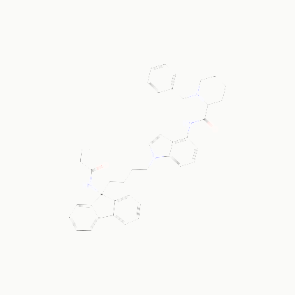 O=C(CC(F)(F)F)NC1(CCCCn2ccc3c(NC(=O)C4CCCCN4Cc4ccccc4)cccc32)c2ccccc2-c2ccccc21